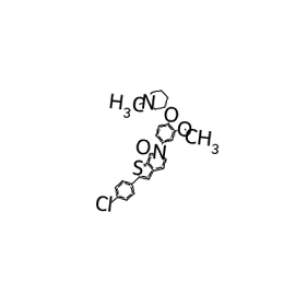 COc1cc(-n2ccc3cc(-c4ccc(Cl)cc4)sc3c2=O)ccc1OC1CCCN(C)C1